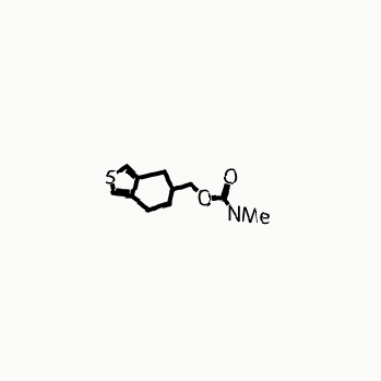 CNC(=O)OCC1CCc2cscc2C1